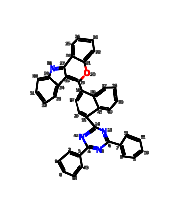 c1ccc(-c2nc(-c3ccccc3)nc(-c3ccc(-c4oc5ccccc5c5nc6ccccc6c4-5)c4ccccc34)n2)cc1